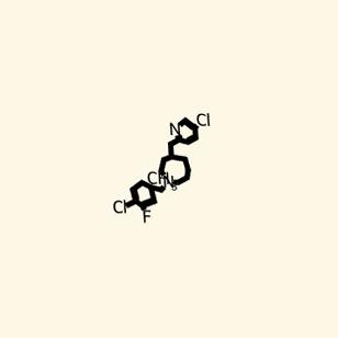 CC1(CN2CCCCC(Cc3ccc(Cl)cn3)CC2)C=C(F)C(Cl)=CC1